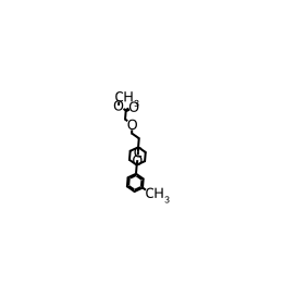 COC(=O)COCCC12CCC(c3cccc(C)c3)(CC1)OC2